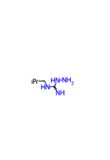 CC(C)CNC(=N)NN